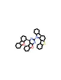 c1ccc2c(c1)oc1c(-c3nc(-n4c5ccccc5c5ccc6sc7ccccc7c6c54)nc4oc5ccccc5c34)cccc12